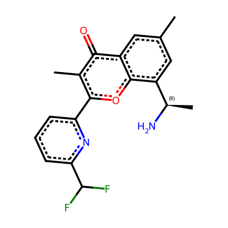 Cc1cc([C@@H](C)N)c2oc(-c3cccc(C(F)F)n3)c(C)c(=O)c2c1